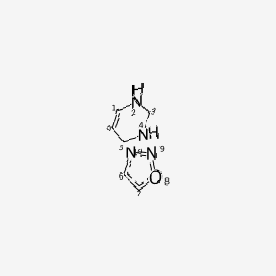 C1=CNCNC1.c1conn1